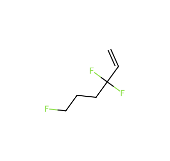 C=CC(F)(F)CCCF